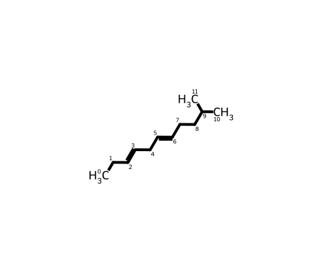 CCC=CCC=CCCC(C)C